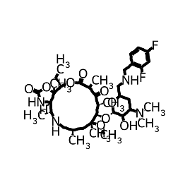 CC[C@H]1OC(=O)C(C)C(=O)[C@H](C)[C@@H](O[C@@H]2OC(CNCc3ccc(F)cc3F)CC(N(C)C)C2O)[C@](C)(OC)C[C@@H](C)CN[C@H](C)[C@H]2NC(=O)O[C@@]21C